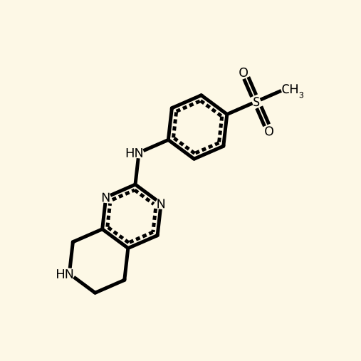 CS(=O)(=O)c1ccc(Nc2ncc3c(n2)CNCC3)cc1